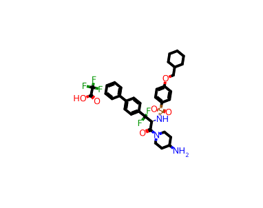 NC1CCN(C(=O)[C@@H](NS(=O)(=O)c2ccc(OCC3CCCCC3)cc2)C(F)(F)c2ccc(-c3ccccc3)cc2)CC1.O=C(O)C(F)(F)F